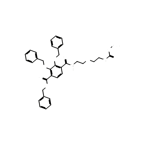 CC(C)(C)OC(=O)NCCOCCNC(=O)c1ccc(C(=O)OCc2ccccc2)c(OCc2ccccc2)c1OCc1ccccc1